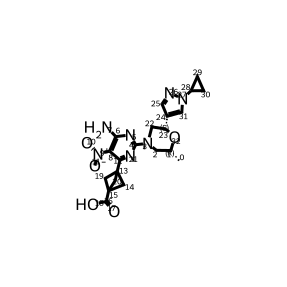 C[C@@H]1CN(c2nc(N)c([N+](=O)[O-])c(C34CC(C(=O)O)(C3)C4)n2)C[C@H](c2cnn(C3CC3)c2)O1